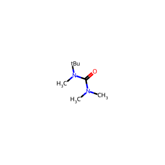 CN(C)C(=O)N(C)C(C)(C)C